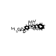 CCOC(=O)c1ccc(NC(=O)N[C@H](Cc2ccccc2)C(=O)O)cc1